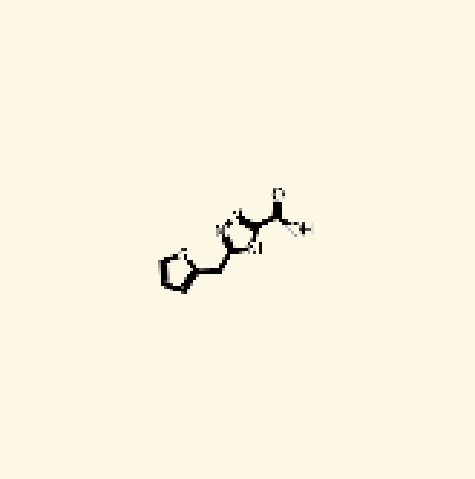 O=C(O)c1nnc(Cc2cccs2)[nH]1